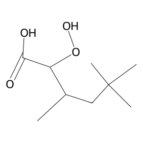 CC(CC(C)(C)C)C(OO)C(=O)O